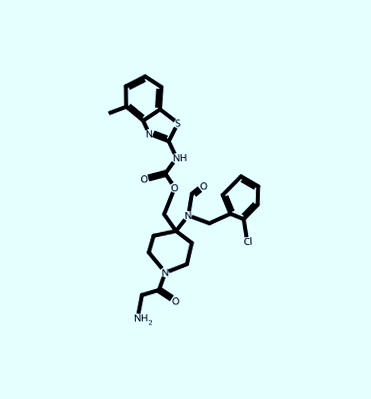 Cc1cccc2sc(NC(=O)OCC3(N(C=O)Cc4ccccc4Cl)CCN(C(=O)CN)CC3)nc12